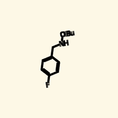 CC(C)CONCc1ccc(F)cc1